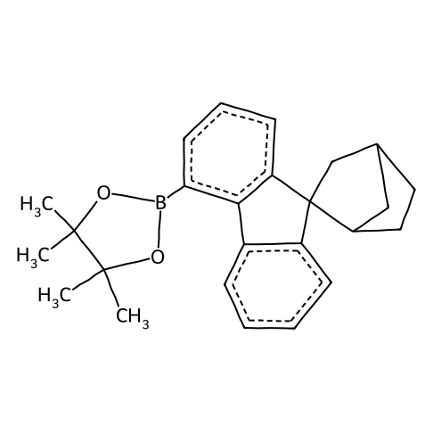 CC1(C)OB(c2cccc3c2-c2ccccc2C32CC3CCC2C3)OC1(C)C